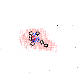 Bc1c(B)c(B)c(-c2c(B)c(B)c(-c3nc(-c4c(B)c(B)c(B)c(B)c4-n4c5c(B)c(B)c(B)c(B)c5c5c(B)c(B)c(B)c(B)c54)nc(-n4c5c(B)c(B)c(B)c(B)c5c5c(B)c(B)c(B)c(B)c54)n3)c(B)c2B)c(B)c1B